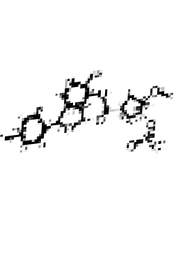 CO[C@@H]1C[C@H](C(=O)Oc2c(C)ncc3c2COC3c2ccc(Cl)cc2)C[C@H]1O[N+](=O)[O-]